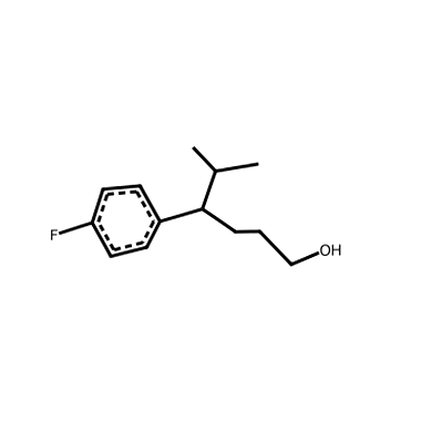 CC(C)C(CCCO)c1ccc(F)cc1